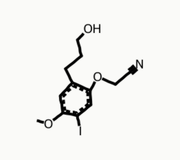 COc1cc(CCCO)c(OCC#N)cc1I